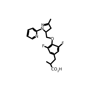 CC1=NN(c2ccccn2)C(COc2c(F)cc(CC(C)C(=O)O)cc2F)C1